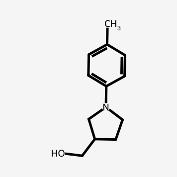 Cc1ccc(N2CCC(CO)C2)cc1